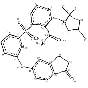 CC1CN(c2nccc(S(=O)(=O)c3cccc(Oc4ccc5c(c4)CCC5=O)n3)c2C(N)=O)C(C)(C)C1